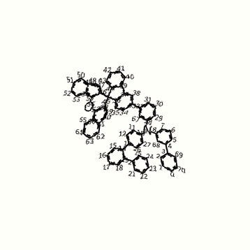 c1ccc(-c2cccc(N(c3ccc(-c4ccccc4-c4ccccc4)cc3)c3cccc(-c4ccc5c(c4)-c4ccccc4C54c5ccc6ccccc6c5Oc5c4ccc4ccccc54)c3)c2)cc1